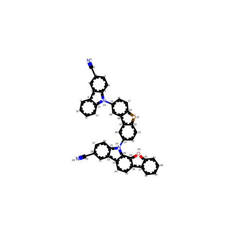 N#Cc1ccc2c(c1)c1ccccc1n2-c1ccc2sc3ccc(-n4c5ccc(C#N)cc5c5ccc6c7ccccc7oc6c54)cc3c2c1